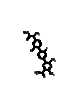 COC(=O)C(C)c1ccc(-c2ccc(-c3nc(C(N)=O)c(C)nc3C)cc2F)c(Cl)c1